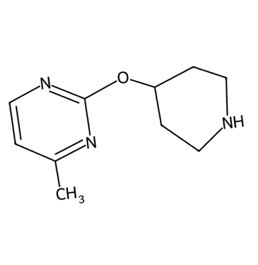 Cc1ccnc(OC2CCNCC2)n1